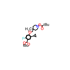 CC1(COc2cc(F)c(C(=O)OC(C)(C)C)cc2C2CC2)CCN(OC(=O)C(C)(C)C)CC1